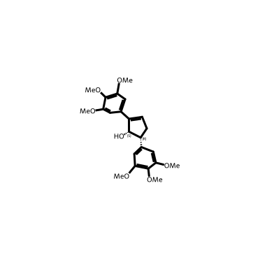 COc1cc(C2=CC[C@H](c3cc(OC)c(OC)c(OC)c3)[C@@H]2O)cc(OC)c1OC